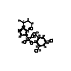 CC1CCOc2c(S(=O)(=O)Oc3c(Cl)cc(Cl)cc3Cl)cnn21